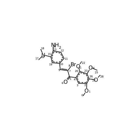 COc1cc(C(=O)C(Br)=Cc2ccc(N)c(N(C)C)c2)c(OC)c(OC)c1OC